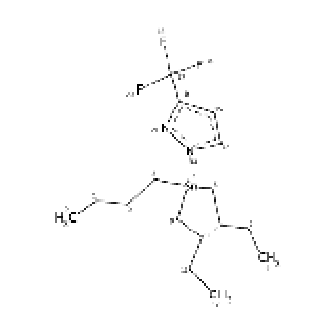 CCC[CH2][Sn]([CH2]CCC)([CH2]CCC)[n]1ccc(C(F)(F)F)n1